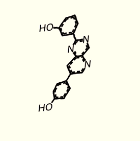 Oc1ccc(-c2cnc3cnc(-c4cccc(O)c4)nc3c2)cc1